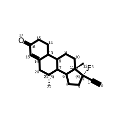 C#C[C@@]1(F)CCC2C3C(CC[C@@]21C)C1CCC(=O)C=C1C[C@H]3C